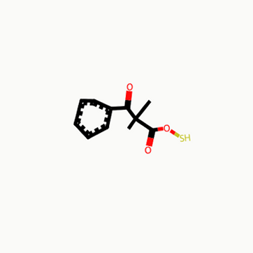 CC(C)(C(=O)OS)C(=O)c1ccccc1